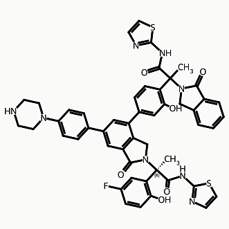 CC(C(=O)Nc1nccs1)(c1ccc(-c2cc(-c3ccc(N4CCNCC4)cc3)cc3c2CN([C@@](C)(C(=O)Nc2nccs2)c2cc(F)ccc2O)C3=O)cc1O)N1Cc2ccccc2C1=O